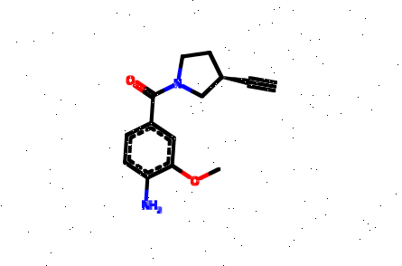 C#C[C@@H]1CCN(C(=O)c2ccc(N)c(OC)c2)C1